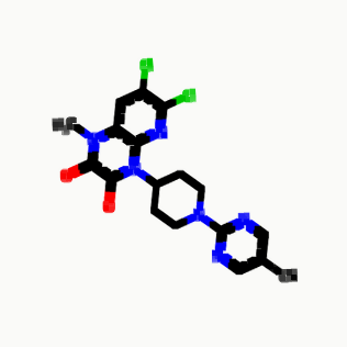 Cn1c(=O)c(=O)n(C2CCN(c3ncc(C#N)cn3)CC2)c2nc(Cl)c(Cl)cc21